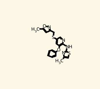 Cc1csc(Nc2ncc(SCc3cc(C)on3)cc2Oc2ccccc2)n1